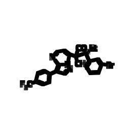 CCOC(=O)C(C)(Cc1cccc(Br)c1)c1ccnc2c(-c3ccc(C(F)(F)F)cc3)cnn12